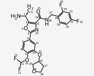 C[C@H](N)c1oc(-c2ccc(OC(F)F)c(OC3CCOC3)c2)nc1C(=O)NCc1ccc(F)cc1F